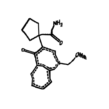 COCn1cc(C2(C(N)=O)CCCC2)c(=O)c2ccccc21